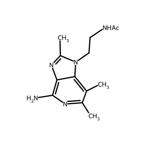 CC(=O)NCCn1c(C)nc2c(N)nc(C)c(C)c21